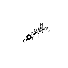 O=C(COc1ccc(Cl)cc1F)Nc1n[nH]c(C(F)(F)F)n1